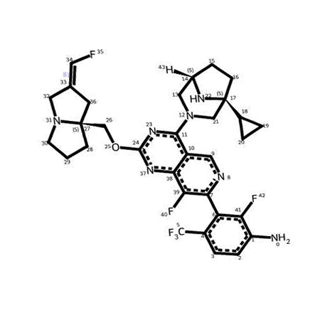 Nc1ccc(C(F)(F)F)c(-c2ncc3c(N4C[C@@H]5CC[C@](C6CC6)(C4)N5)nc(OC[C@@]45CCCN4C/C(=C/F)C5)nc3c2F)c1F